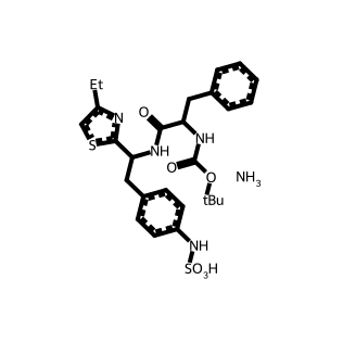 CCc1csc(C(Cc2ccc(NS(=O)(=O)O)cc2)NC(=O)C(Cc2ccccc2)NC(=O)OC(C)(C)C)n1.N